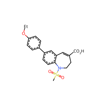 CCOc1ccc(-c2ccc3c(c2)C=C(C(=O)O)CCN3S(C)(=O)=O)cc1